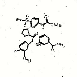 CCOc1cc([C@@H](Nc2cccc(C(N)=O)c2)C(=O)N2CCC[C@@H]2c2cc(NC(=O)OC)ccc2S(=O)(=O)C(C)C)ccc1F